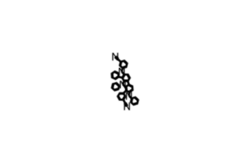 N#Cc1cccc(-n2c3ccccc3c3c2ccc2c4ccc5c(c6cccc(C#N)c6n5-c5ccccc5)c4n(-c4ccccc4)c23)c1